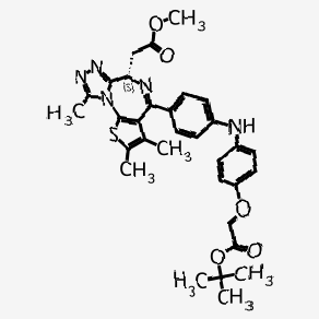 COC(=O)C[C@@H]1N=C(c2ccc(Nc3ccc(OCC(=O)OC(C)(C)C)cc3)cc2)c2c(sc(C)c2C)-n2c(C)nnc21